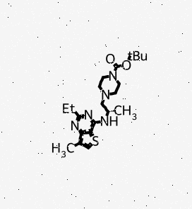 CCc1nc(N[C@@H](C)CN2CCN(C(=O)OC(C)(C)C)CC2)c2scc(C)c2n1